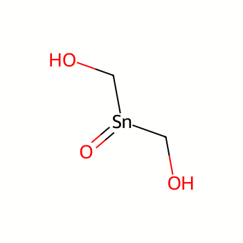 [O]=[Sn]([CH2]O)[CH2]O